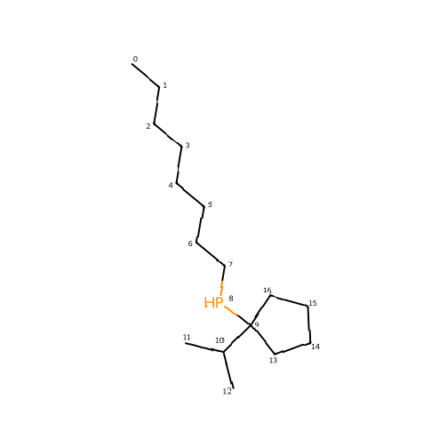 CCCCCCCCPC1(C(C)C)CCCC1